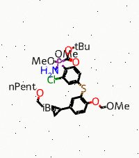 CCCCCOCC(C)CC.COCOc1ccc(C2CC2)cc1Sc1ccc(P(N)(OC)(OC)C(=O)OC(C)(C)C)c(Cl)c1